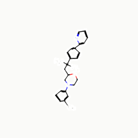 CC(C)(C)c1cccc(N2CCOC(CC(C)(C)c3ccc(-c4ccccn4)cc3)C2)c1